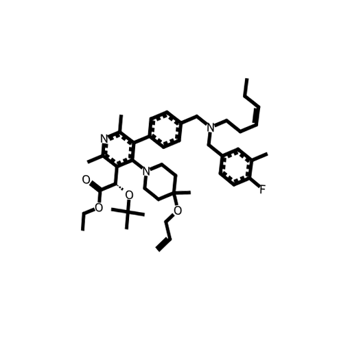 C=CCOC1(C)CCN(c2c(-c3ccc(CN(CC/C=C\CC)Cc4ccc(F)c(C)c4)cc3)c(C)nc(C)c2[C@H](OC(C)(C)C)C(=O)OCC)CC1